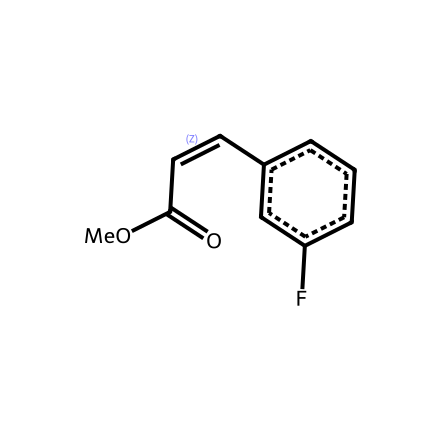 COC(=O)/C=C\c1cccc(F)c1